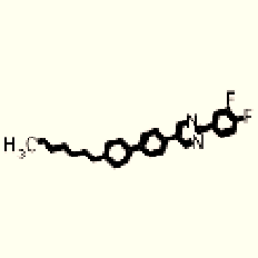 CCCCCCCC1CCC(c2ccc(-c3cnc(-c4ccc(F)c(F)c4)nc3)cc2)CC1